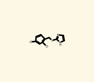 Clc1ccc(CSc2ncc[nH]2)c(Cl)c1